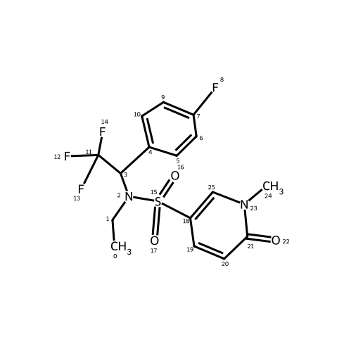 CCN(C(c1ccc(F)cc1)C(F)(F)F)S(=O)(=O)c1ccc(=O)n(C)c1